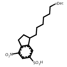 CCCCCCCCCCCCCCCCC1CCc2c1cc(S(=O)(=O)O)cc2[N+](=O)[O-]